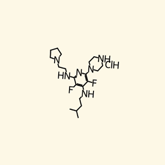 CC(C)CCNc1c(F)c(NCCN2CCCC2)nc(N2CCNCC2)c1F.Cl